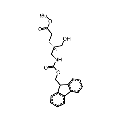 CC(C)(C)OC(=O)CC[C@H](CO)CNC(=O)OCC1c2ccccc2-c2ccccc21